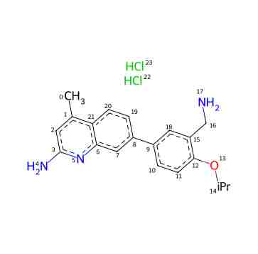 Cc1cc(N)nc2cc(-c3ccc(OC(C)C)c(CN)c3)ccc12.Cl.Cl